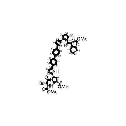 CC[C@H](C)C(NC(=O)OC)C(=O)N1C[C@@H](COC)C[C@H]1c1ncc(-c2ccc(-c3ccc(-c4cnc([C@@H]5CC[C@H](C)N5C(=O)[C@@H](NC(=O)OC)C5CCOCC5)[nH]4)cc3)cc2)[nH]1